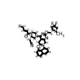 CN1CC(F)(F)C[C@H]1COc1nc2c(c(N3CCN(C(=O)/C=C/CF)[C@@H](CC#N)C3)n1)CCN(c1cccc3cccc(Cl)c13)C2